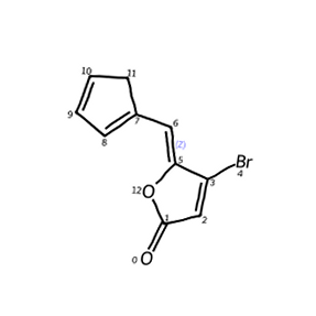 O=C1C=C(Br)/C(=C/C2=CC=CC2)O1